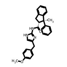 COc1ccc(Cc2c[nH]c(NC(=O)[C@@H]3Cc4ccccc4[C@@]3(C)c3ccccc3)n2)cc1